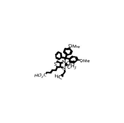 C#CCN1C2C(CCCCC(=O)O)SCC2N(C(c2ccccc2)(c2ccc(OC)cc2)c2ccc(OC)cc2)C1(C)O